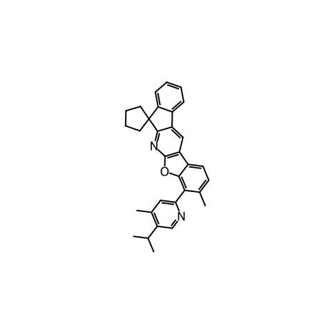 Cc1cc(-c2c(C)ccc3c2oc2nc4c(cc23)-c2ccccc2C42CCCC2)ncc1C(C)C